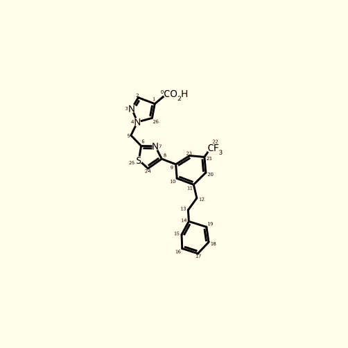 O=C(O)c1cnn(Cc2nc(-c3cc(CCc4ccccc4)cc(C(F)(F)F)c3)cs2)c1